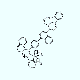 CC1(C)C2=C(c3ccc(-c4ccc(-c5ccc6c7c(cccc57)-c5ccccc5-6)c5ccccc45)cc3)C3=c4ccccc4=CCC3N=C2c2ccccc21